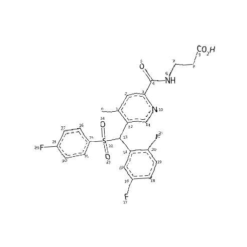 Cc1cc(C(=O)NCCC(=O)O)ncc1C(c1cc(F)ccc1F)S(=O)(=O)c1ccc(F)cc1